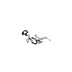 CCOC(=O)C1(C)CCN(C(=O)OCc2ccccc2)CCC1O